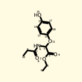 CCOC(=O)C(NC(=O)CC)Oc1ccc(O)cc1